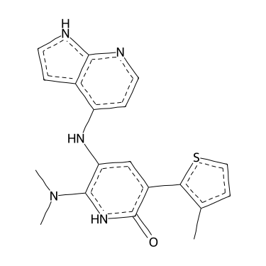 Cc1ccsc1-c1cc(Nc2ccnc3[nH]ccc23)c(N(C)C)[nH]c1=O